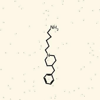 NCCCCCN1CCC(Cc2ccccc2)CC1